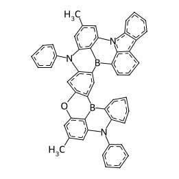 Cc1cc2c3c(c1)N(c1ccccc1)c1ccccc1B3c1cc3c(cc1O2)N(c1ccccc1)c1cc(C)cc2c1B3c1cccc3c4ccccc4n-2c13